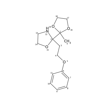 CC1(C2(CCOc3c[c]ccc3)NCCO2)OCCO1